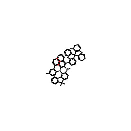 CB1c2ccc3c(c2N(c2ccc(C)cc2-c2ccccc2)c2cc4ccccc4c(-c4cccc(C(C5=CCCC=C5)(C5=C(C)C=CCC5C)c5ccccc5)c4C)c21)-c1ccccc1C3(C)C